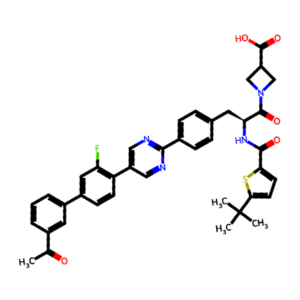 CC(=O)c1cccc(-c2ccc(-c3cnc(-c4ccc(C[C@H](NC(=O)c5ccc(C(C)(C)C)s5)C(=O)N5CC(C(=O)O)C5)cc4)nc3)c(F)c2)c1